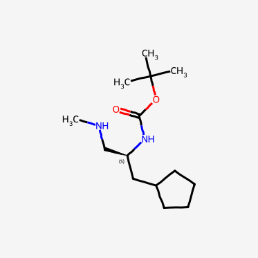 CNC[C@H](CC1CCCC1)NC(=O)OC(C)(C)C